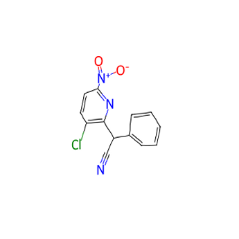 N#CC(c1ccccc1)c1nc([N+](=O)[O-])ccc1Cl